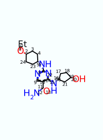 CCO[C@H]1CC[C@H](Nc2ncc(C(N)=O)c(N[C@@H]3CCC(O)C3)n2)CC1